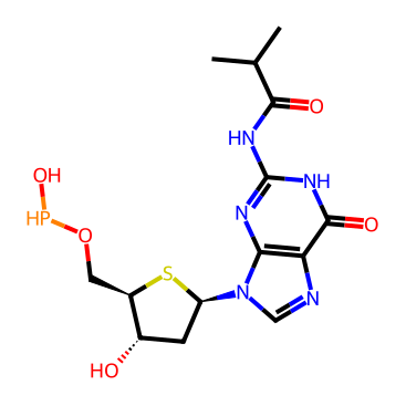 CC(C)C(=O)Nc1nc2c(ncn2[C@H]2C[C@H](O)[C@@H](COPO)S2)c(=O)[nH]1